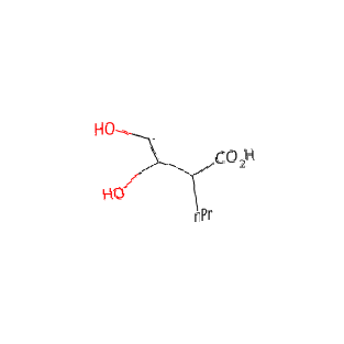 CCCC(C(=O)O)C(O)[CH]O